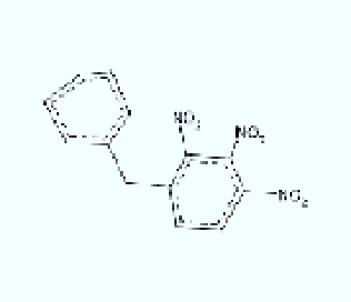 O=[N+]([O-])c1ccc(Cc2ccccc2)c([N+](=O)[O-])c1[N+](=O)[O-]